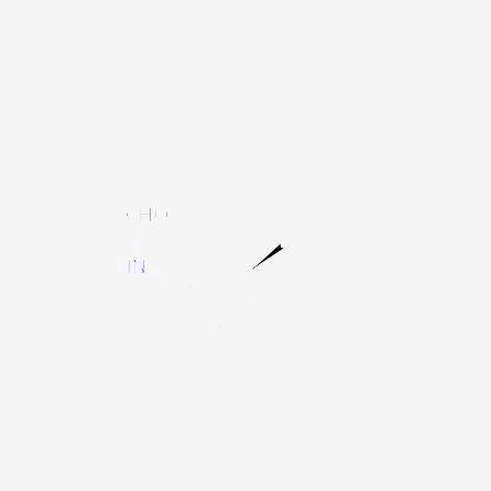 O=CN[C@H]1C[C@@H]1c1ccccc1